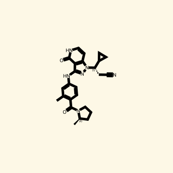 Cc1cc(Nc2nn([C@@H](CC#N)C3CC3)c3cc[nH]c(=O)c23)ccc1C(=O)N1CCC[C@H]1C